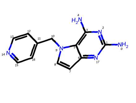 Nc1nc(N)c2c(ccn2Cc2ccncc2)n1